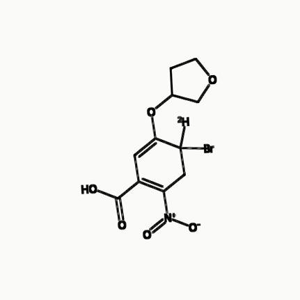 [2H]C1(Br)CC([N+](=O)[O-])=C(C(=O)O)C=C1OC1CCOC1